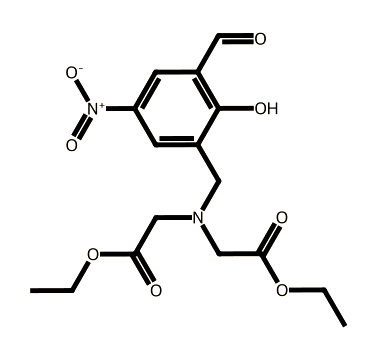 CCOC(=O)CN(CC(=O)OCC)Cc1cc([N+](=O)[O-])cc(C=O)c1O